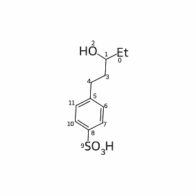 CCC(O)CCc1ccc(S(=O)(=O)O)cc1